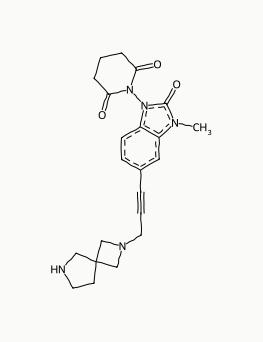 Cn1c(=O)n(N2C(=O)CCCC2=O)c2ccc(C#CCN3CC4(CCNC4)C3)cc21